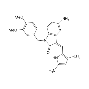 COc1ccc(CN2C(=O)C(=Cc3[nH]c(C)cc3C)c3cc(N)ccc32)cc1OC